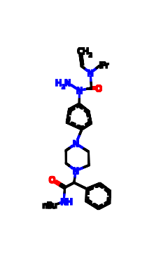 C=CN(C(=O)N(N)c1ccc(N2CCN(C(C(=O)NCCCC)c3ccccc3)CC2)cc1)C(C)C